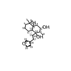 C[C@@H]1[C@@H](O)C[C@H]2C(C)(C)CCC[C@]2(C)[C@@]1(O)CCc1ccoc1